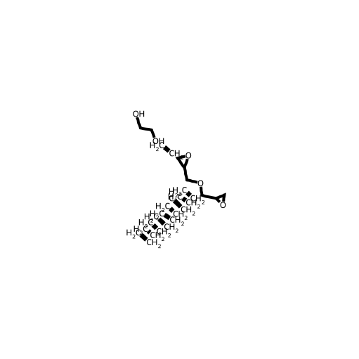 C(OCC1CO1)C1CO1.C=C.C=C.C=C.C=C.C=C.C=C.C=C.C=C.C=C.C=C.OCCO